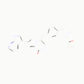 CNC(=O)CN(C)Cc1ccc(Cc2c[nH]c(=O)c3cc(-c4c[nH]c5ncccc45)cn23)cc1